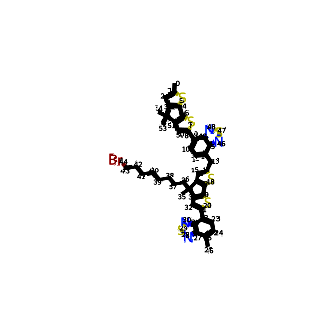 Cc1cc2c(s1)-c1sc(-c3ccc(Cc4cc5c(s4)-c4sc(-c6ccc(C)c7nsnc67)cc4C5(C)CCCCCCCCBr)c4nsnc34)cc1C2(C)C